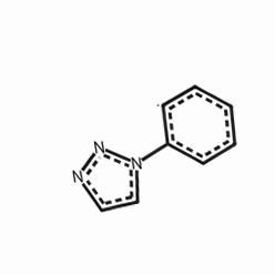 [c]1ccccc1-n1ccnn1